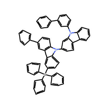 c1ccc(-c2cccc(-n3c4ccccc4c4ccc(-n5c6ccc(-c7ccccc7)cc6c6cc([Si](c7ccccc7)(c7ccccc7)c7ccccc7)ccc65)cc43)c2)cc1